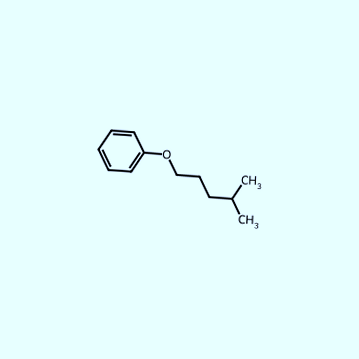 CC(C)CCCOc1ccccc1